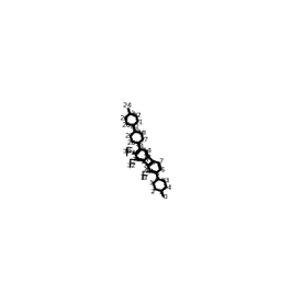 CC1CCC(c2ccc3c(c2F)-c2c-3cc(C3CCC(C4CCC(C)CC4)CC3)c(F)c2F)CC1